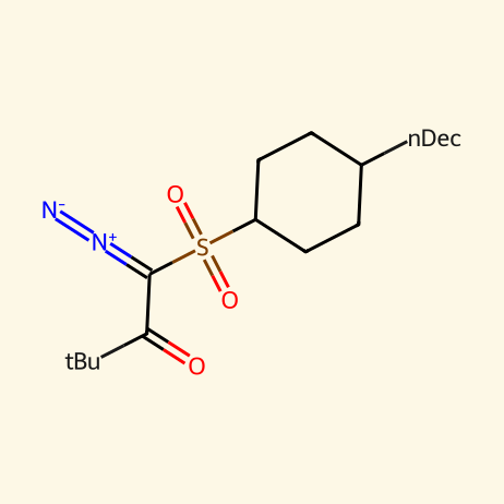 CCCCCCCCCCC1CCC(S(=O)(=O)C(=[N+]=[N-])C(=O)C(C)(C)C)CC1